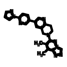 Cc1c(N2CCc3ncc(-c4ccc(-n5cccn5)nc4)cc3C2)nn2cnnc2c1C